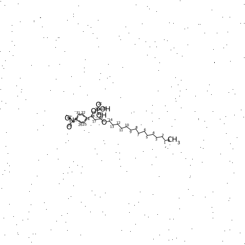 CCCCCCCCCCCCCCCOCCC(OP(=O)(O)O)c1ccc([N+](=O)[O-])cc1